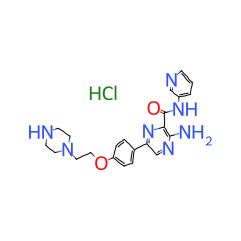 Cl.Nc1ncc(-c2ccc(OCCN3CCNCC3)cc2)nc1C(=O)Nc1cccnc1